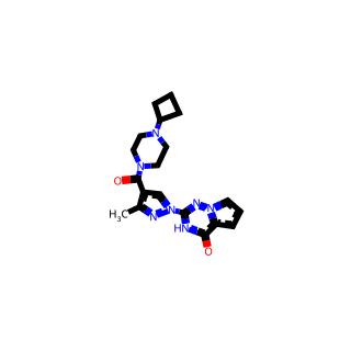 Cc1nn(-c2nn3cccc3c(=O)[nH]2)cc1C(=O)N1CCN(C2CCC2)CC1